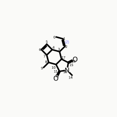 C/C=C\C1C2C=CC2C(C)C2C(=O)N(C)C(=O)C12